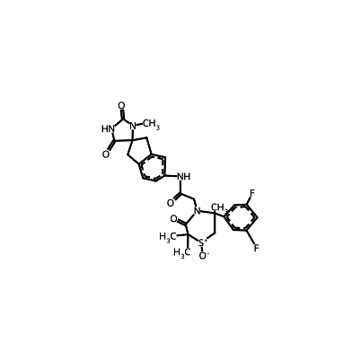 CN1C(=O)NC(=O)C12Cc1ccc(NC(=O)CN3C(=O)C(C)(C)[S+]([O-])CC3(C)c3cc(F)cc(F)c3)cc1C2